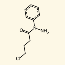 NN(C(=O)CCCCl)c1ccccc1